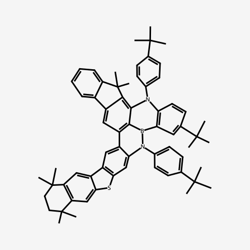 CC(C)(C)c1ccc(N2B3c4cc(C(C)(C)C)ccc4N(c4ccc(C(C)(C)C)cc4)c4c3c(cc3c4C(C)(C)c4ccccc4-3)-c3cc4c(cc32)sc2cc3c(cc24)C(C)(C)CCC3(C)C)cc1